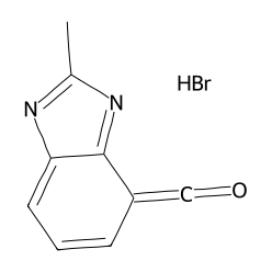 Br.CC1=Nc2cccc(=C=O)c2=N1